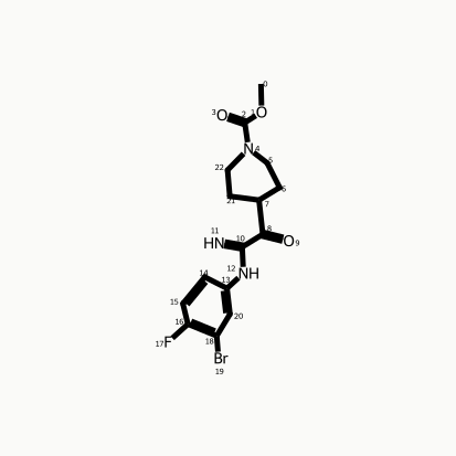 COC(=O)N1CCC(C(=O)C(=N)Nc2ccc(F)c(Br)c2)CC1